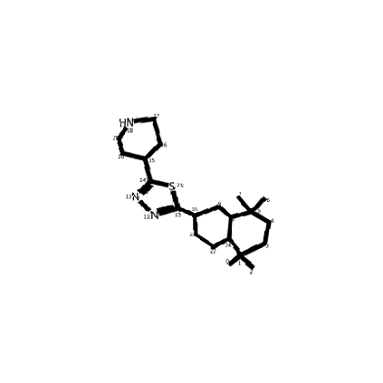 CC1(C)CCC(C)(C)C2CC(c3nnc(C4CCNCC4)s3)CCC21